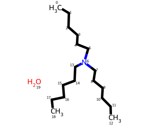 CCCCCCN(CCCCCC)CCCCCC.O